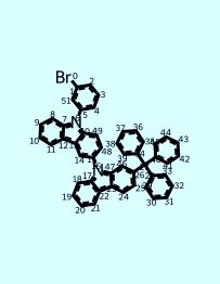 Brc1cccc(-n2c3ccccc3c3cc(-n4c5ccccc5c5ccc(C(c6ccccc6)(c6ccccc6)c6ccccc6)cc54)ccc32)c1